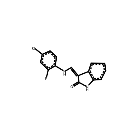 O=C1Nc2ccccc2C1=CNc1ccc(Cl)cc1F